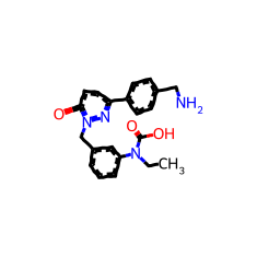 CCN(C(=O)O)c1cccc(Cn2nc(-c3ccc(CN)cc3)ccc2=O)c1